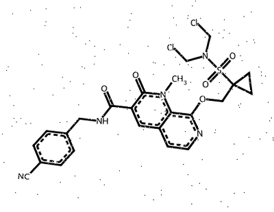 Cn1c(=O)c(C(=O)NCc2ccc(C#N)cc2)cc2ccnc(OCC3(S(=O)(=O)N(CCl)CCl)CC3)c21